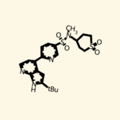 CN(C1CCS(=O)(=O)CC1)S(=O)(=O)c1ccc(-c2ccnc3[nH]c(C(C)(C)C)cc23)nc1